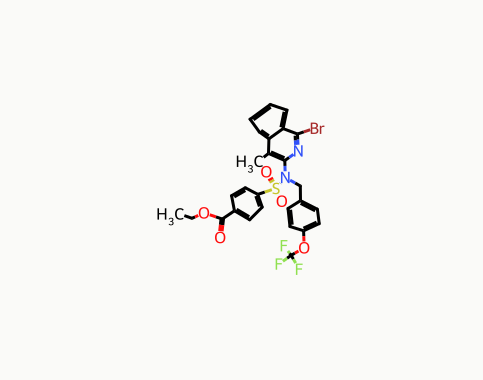 CCOC(=O)c1ccc(S(=O)(=O)N(Cc2ccc(OC(F)(F)F)cc2)c2nc(Br)c3ccccc3c2C)cc1